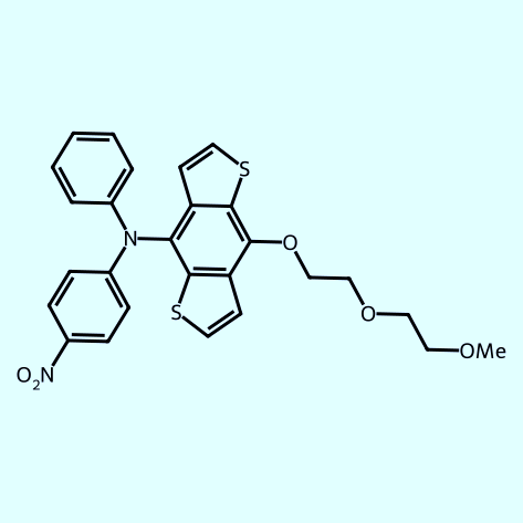 COCCOCCOc1c2ccsc2c(N(c2ccccc2)c2ccc([N+](=O)[O-])cc2)c2ccsc12